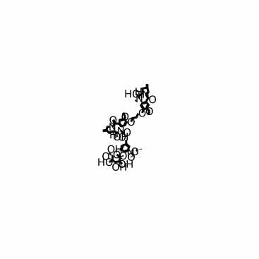 C=C1C[C@H]2[C@H](O)N(C)c3cc(OCCCOc4cc5c(cc4OC)C(=O)N4CC(=C)C[C@H]4[C@H](O)N5C(=O)OCc4ccc(O[C@@H]5O[C@H](C(=O)O)C(O)[C@H](O)C5O)c([N+](=O)[O-])c4)c(OC)cc3C(=O)N2C1